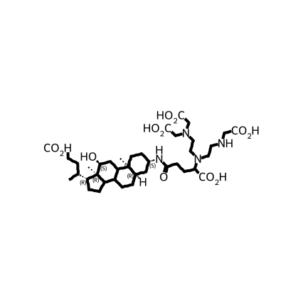 CC(CCC(=O)O)[C@H]1CCC2C3CC[C@@H]4C[C@@H](NC(=O)CCC(C(=O)O)N(CCNCC(=O)O)CCN(CC(=O)O)CC(=O)O)CC[C@]4(C)C3C[C@H](O)[C@@]21C